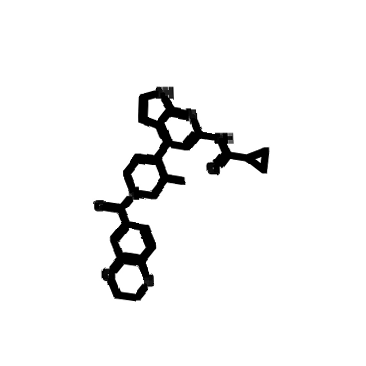 CC1CN(C(=O)c2ccc3c(c2)OCCO3)CC=C1c1cc(NC(=O)C2CC2)nc2[nH]ccc12